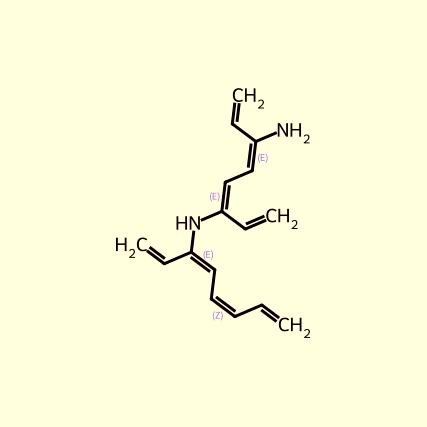 C=C/C=C\C=C(/C=C)N/C(C=C)=C/C=C(/N)C=C